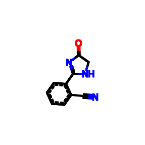 N#Cc1ccccc1C1=NC(=O)CN1